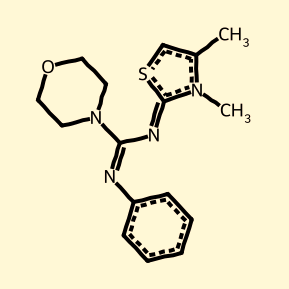 Cc1csc(=NC(=Nc2ccccc2)N2CCOCC2)n1C